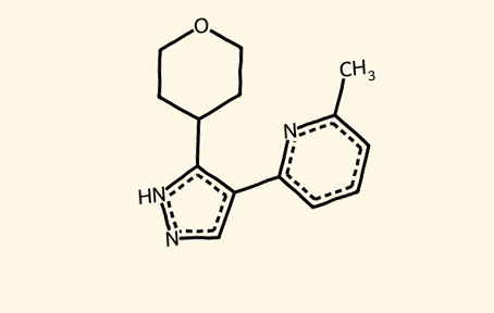 Cc1cccc(-c2cn[nH]c2C2CCOCC2)n1